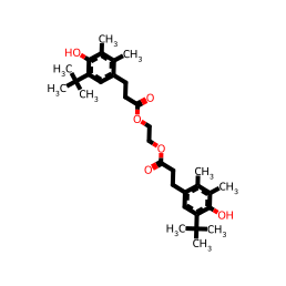 Cc1c(CCC(=O)OCCOC(=O)CCc2cc(C(C)(C)C)c(O)c(C)c2C)cc(C(C)(C)C)c(O)c1C